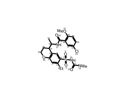 CCc1cc2c(cc1S(=O)(=O)NC(=O)NC)C(C(C)NC(=O)c1cc(Cl)ccc1OC)CCO2